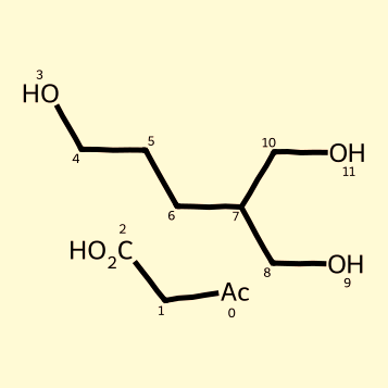 CC(=O)CC(=O)O.OCCCC(CO)CO